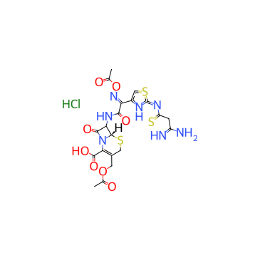 CC(=O)OCC1=C(C(=O)O)N2C(=O)C(NC(=O)C(=NOC(C)=O)c3csc(=NC(=S)CC(=N)N)[nH]3)[C@@H]2SC1.Cl